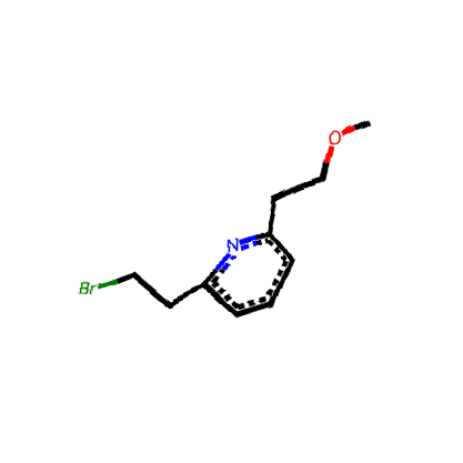 COCCc1cccc(CCBr)n1